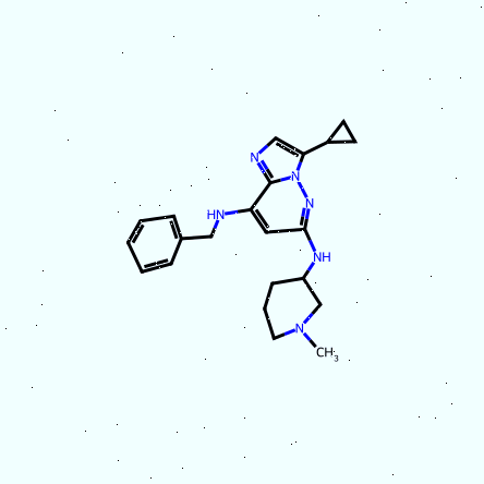 CN1CCCC(Nc2cc(NCc3ccccc3)c3ncc(C4CC4)n3n2)C1